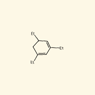 CC[C]1C=C(CC)C=C(CC)C1